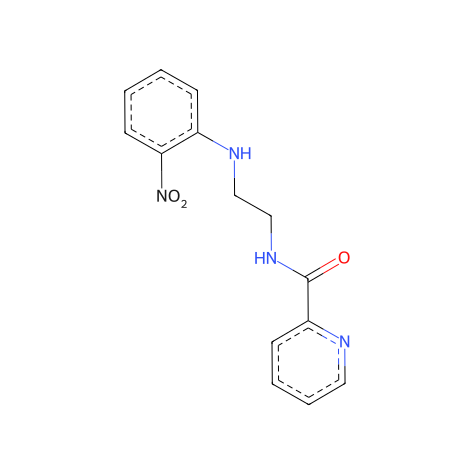 O=C(NCCNc1ccccc1[N+](=O)[O-])c1ccccn1